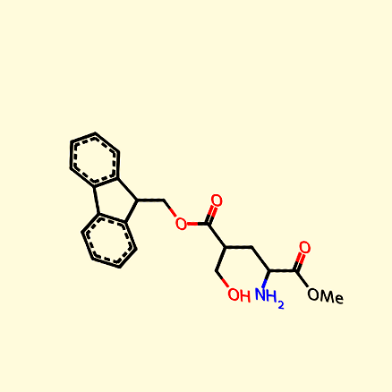 COC(=O)C(N)CC(CO)C(=O)OCC1c2ccccc2-c2ccccc21